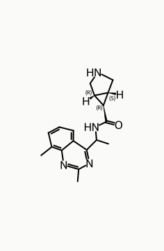 Cc1nc(C(C)NC(=O)[C@H]2[C@@H]3CNC[C@@H]32)c2cccc(C)c2n1